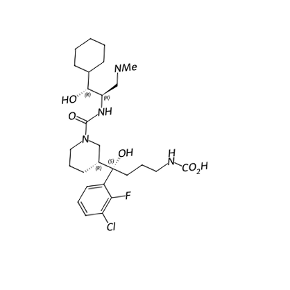 CNC[C@@H](NC(=O)N1CCC[C@@H]([C@@](O)(CCCNC(=O)O)c2cccc(Cl)c2F)C1)[C@H](O)C1CCCCC1